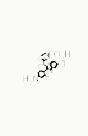 Nc1cc(F)c(-c2nc3cc(Cl)ccn3c2CC2CN(C(=O)O)CCO2)c(F)c1